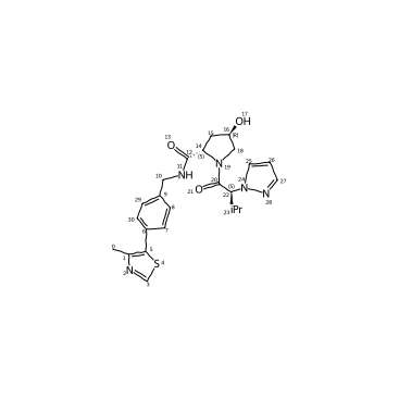 Cc1ncsc1-c1ccc(CNC(=O)[C@@H]2C[C@@H](O)CN2C(=O)[C@H](C(C)C)n2cccn2)cc1